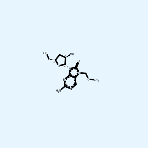 COCn1c(=O)n([C@@H]2O[C@H](CO)C[C@H]2O)c2nc(N)ncc21